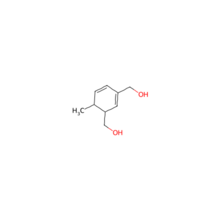 CC1C=CC(CO)=CC1CO